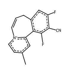 Cc1cc[n+]2c(c1)-c1c(cc(F)c(C#N)c1F)CC=C2